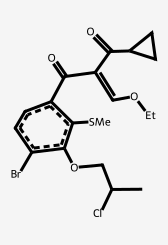 CCOC=C(C(=O)c1ccc(Br)c(OCC(C)Cl)c1SC)C(=O)C1CC1